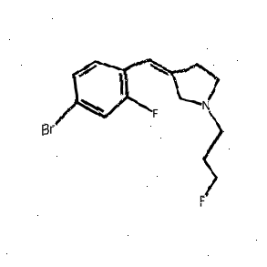 FCCCN1CCC(=Cc2ccc(Br)cc2F)C1